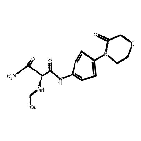 CC(C)(C)CN[C@@H](C(N)=O)C(=O)Nc1ccc(N2CCOCC2=O)cc1